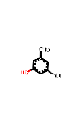 CCCCc1cc(O)cc(C=O)c1